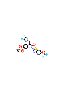 O=C(Nc1nc2ccc(OC(F)F)cc2s1)/C(=C/[C@H]1C[C@@H](F)[C@@H](F)C1)c1ccc(S(=O)(=O)C2CC2)cc1